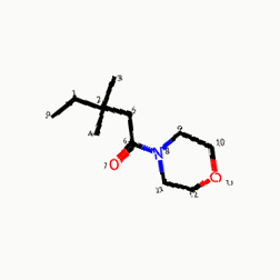 [CH2]CC(C)(C)CC(=O)N1CCOCC1